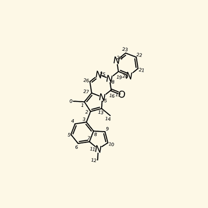 Cc1c(-c2cccc3c2ccn3C)c(C)n2c(=O)n(-c3ncccn3)ncc12